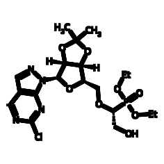 CCOP(=O)(OCC)[C@H](CO)OC[C@H]1O[C@@H](n2ncc3[c]nc(Cl)nc32)[C@@H]2OC(C)(C)O[C@@H]21